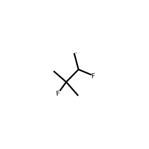 [CH2]C(F)C(C)(C)F